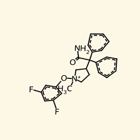 C[N+]1(Oc2cc(F)cc(F)c2)CCC(C(C(N)=O)(c2ccccc2)c2ccccc2)C1